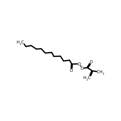 C=C(C)C(=O)OOC(=O)CCCCCCCCCCC